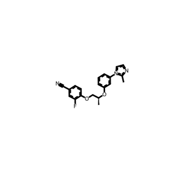 Cc1nccn1-c1cccc(O[C@@H](C)COc2ccc(C#N)cc2F)c1